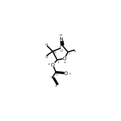 C=CC(=O)OC(OC(C)C#N)C(C)(C)C